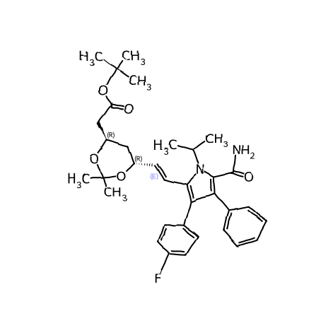 CC(C)n1c(/C=C/[C@H]2C[C@H](CC(=O)OC(C)(C)C)OC(C)(C)O2)c(-c2ccc(F)cc2)c(-c2ccccc2)c1C(N)=O